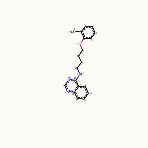 Cc1ccccc1OCCCCNc1ncnc2ccccc12